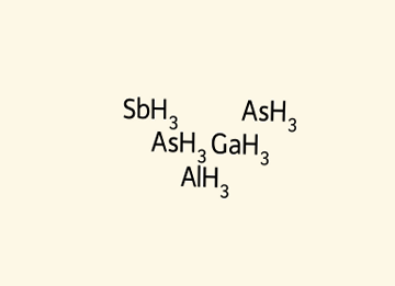 [AlH3].[AsH3].[AsH3].[GaH3].[SbH3]